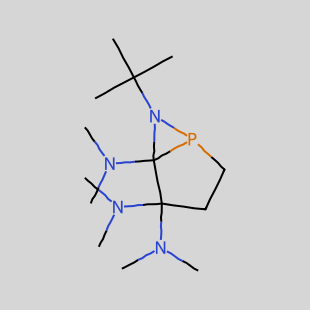 CN(C)C1(N(C)C)CCP2N(C(C)(C)C)C21N(C)C